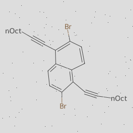 CCCCCCCCC#Cc1c(Br)ccc2c(C#CCCCCCCCC)c(Br)ccc12